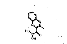 Cc1nc2ccccc2nc1C(=O)N(O)O